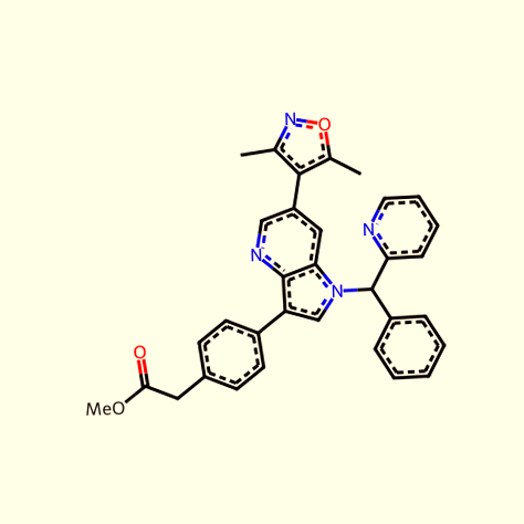 COC(=O)Cc1ccc(-c2cn(C(c3ccccc3)c3ccccn3)c3cc(-c4c(C)noc4C)cnc23)cc1